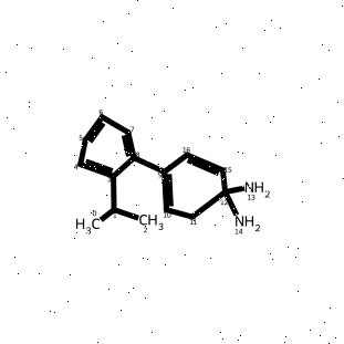 CC(C)c1ccccc1C1=CCC(N)(N)C=C1